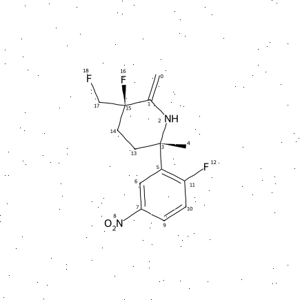 C=C1N[C@](C)(c2cc([N+](=O)[O-])ccc2F)CC[C@]1(F)CF